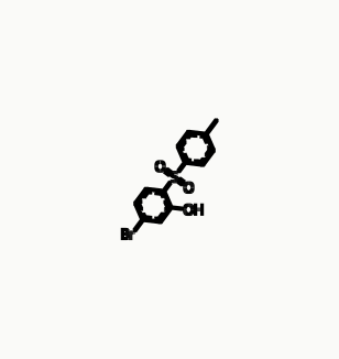 Cc1ccc(S(=O)(=O)c2ccc(Br)cc2O)cc1